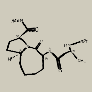 CCCN[C@@H](C)C(=O)N[C@H]1CCCC[C@H]2CC[C@@H](C(=O)NC)N2C1=O